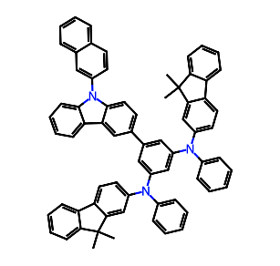 CC1(C)c2ccccc2-c2ccc(N(c3ccccc3)c3cc(-c4ccc5c(c4)c4ccccc4n5-c4ccc5ccccc5c4)cc(N(c4ccccc4)c4ccc5c(c4)C(C)(C)c4ccccc4-5)c3)cc21